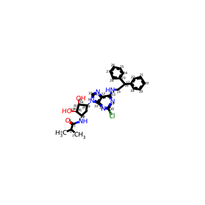 CC(C)C(=O)N[C@H]1C[C@@H](n2cnc3c(NCC(c4ccccc4)c4ccccc4)nc(Cl)nc32)[C@H](O)[C@@H]1O